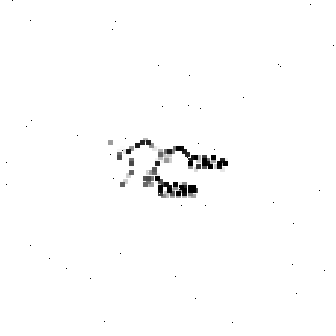 COC[C@@H]1C[C@@H](C)C(C)[C@@H]1OC